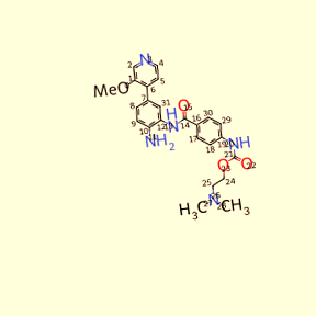 COc1cnccc1-c1ccc(N)c(NC(=O)c2ccc(NC(=O)OCCN(C)C)cc2)c1